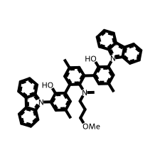 COCCCN(C)c1c(-c2cc(C)cc(-n3c4ccccc4c4ccccc43)c2O)cc(C)cc1-c1cc(C)cc(-n2c3ccccc3c3ccccc32)c1O